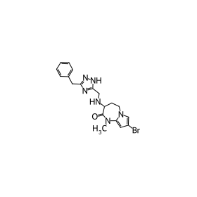 CN1C(=O)C(NCc2nc(Cc3ccccc3)n[nH]2)CCn2cc(Br)cc21